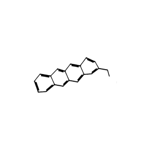 CCc1ccc2cc3cc4ccccc4cc3cc2c1